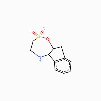 O=S1(=O)CCNC2c3ccccc3CC2O1